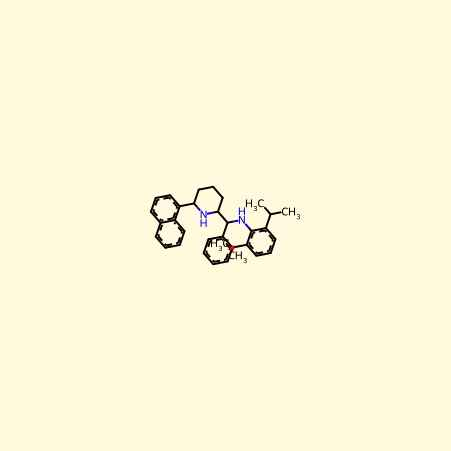 CC(C)c1cccc(C(C)C)c1NC(c1ccccc1)C1CCCC(c2cccc3ccccc23)N1